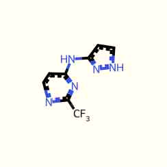 FC(F)(F)c1nccc(Nc2cc[nH]n2)n1